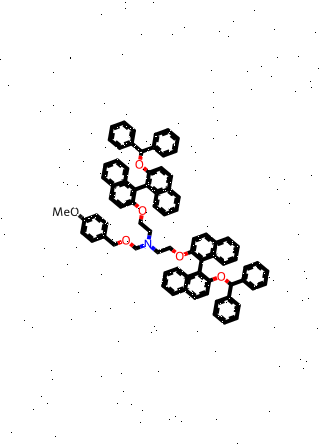 COc1ccc(COCN(CCOc2ccc3ccccc3c2-c2c(OC(c3ccccc3)c3ccccc3)ccc3ccccc23)CCOc2ccc3ccccc3c2-c2c(OC(c3ccccc3)c3ccccc3)ccc3ccccc23)cc1